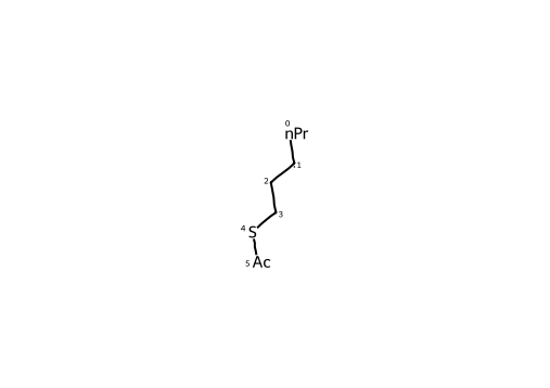 CCC[CH]CCSC(C)=O